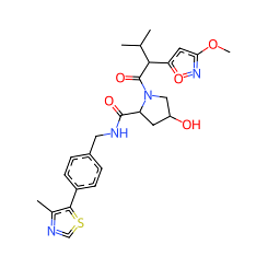 COc1cc(C(C(=O)N2CC(O)CC2C(=O)NCc2ccc(-c3scnc3C)cc2)C(C)C)on1